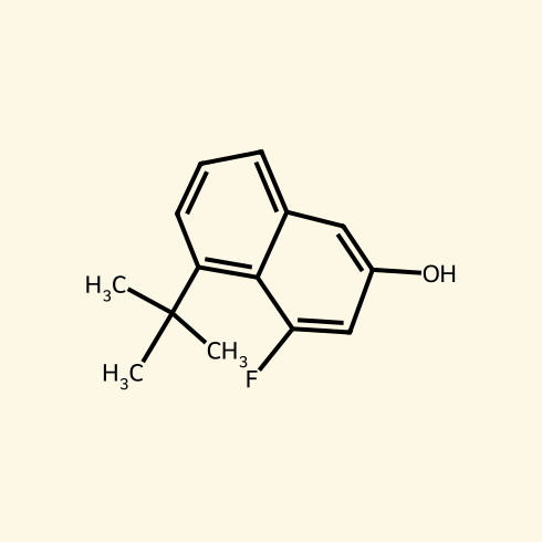 CC(C)(C)c1cccc2cc(O)cc(F)c12